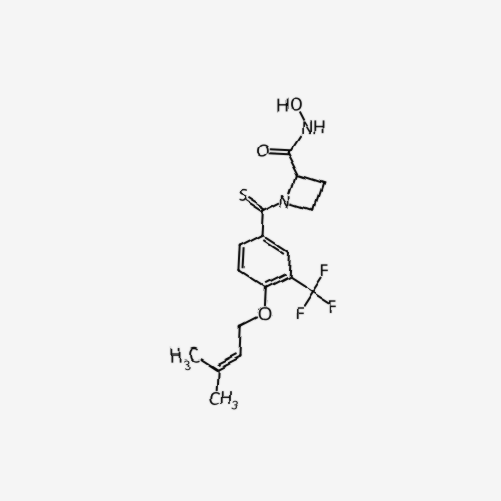 CC(C)=CCOc1ccc(C(=S)N2CCC2C(=O)NO)cc1C(F)(F)F